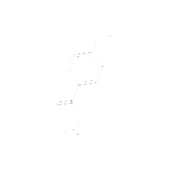 NOC(=O)c1ccc(C(=O)[O-])cc1.[K+]